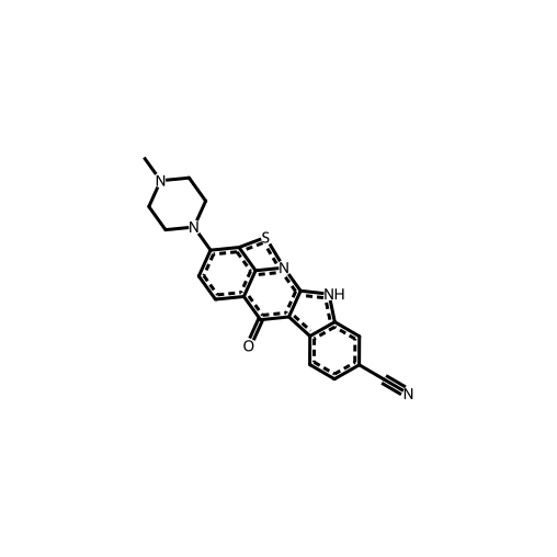 CN1CCN(c2ccc3c(=O)c4c5ccc(C#N)cc5[nH]c4n4sc2c34)CC1